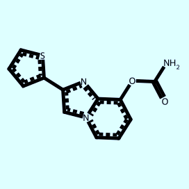 NC(=O)Oc1cccn2cc(-c3cccs3)nc12